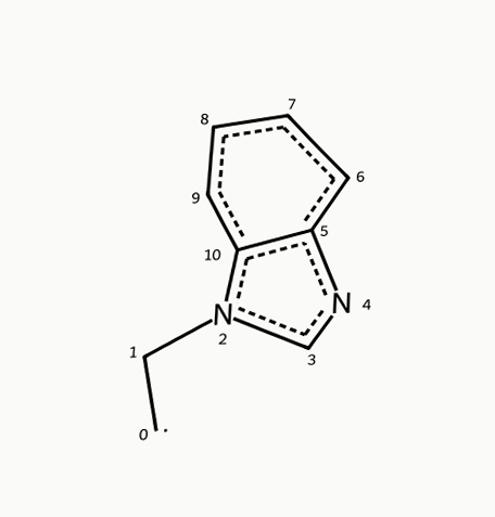 [CH2]Cn1cnc2ccccc21